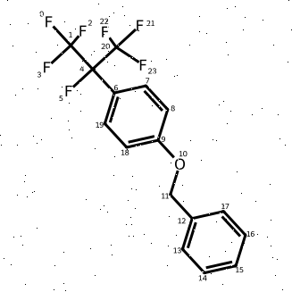 FC(F)(F)C(F)(c1ccc(OCc2ccccc2)cc1)C(F)(F)F